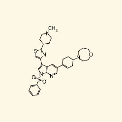 CN1CCC(c2nc(-c3cn(S(=O)(=O)c4ccccc4)c4ncc(C5=CCC(N6CCCOCC6)CC5)cc34)cs2)CC1